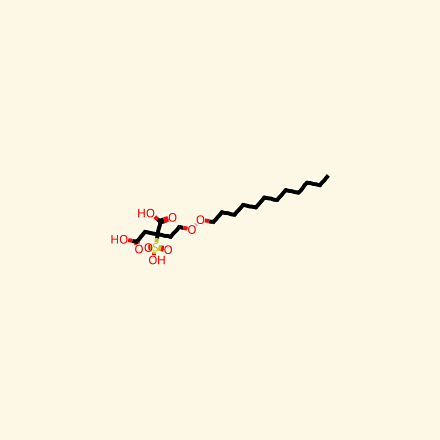 CCCCCCCCCCCCOOCCC(CC(=O)O)(C(=O)O)S(=O)(=O)O